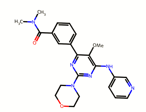 COc1c(Nc2cccnc2)nc(N2CCOCC2)nc1-c1cccc(C(=O)N(C)C)c1